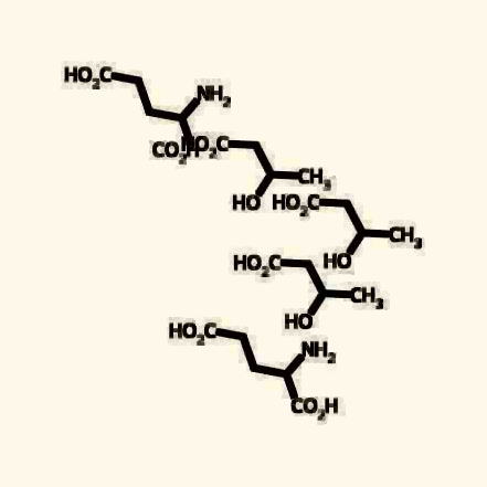 CC(O)CC(=O)O.CC(O)CC(=O)O.CC(O)CC(=O)O.NC(CCC(=O)O)C(=O)O.NC(CCC(=O)O)C(=O)O